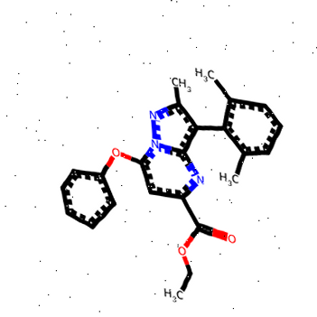 CCOC(=O)c1cc(Oc2ccccc2)n2nc(C)c(-c3c(C)cccc3C)c2n1